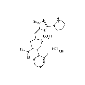 CCN(CC)C1CC(/C=C2\SC(N3CCCCN3)=NC2=S)N(C(=O)O)CC1c1ccccc1F.Cl.Cl